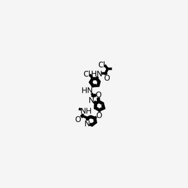 CNC(=O)c1cc(Oc2ccc3oc(Nc4ccc(NC(=O)C(C)Cl)c(Cl)c4)nc3c2)ccn1